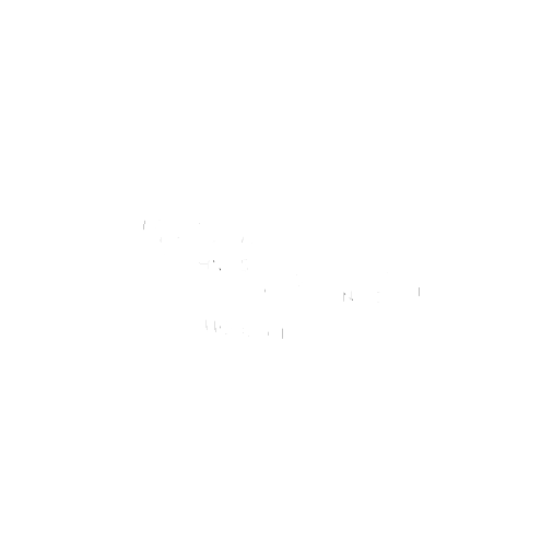 C[C@]1(c2ccccc2)C[C@@H]1NS(=O)(=O)c1ccc(-c2cc(CF)sn2)s1.O=C(O)O